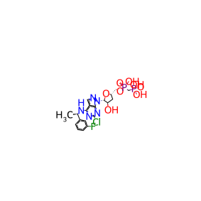 C[C@@H](Nc1nc(Cl)nc2c1cnn2[C@@H]1O[C@H](COP(=O)(O)CP(=O)(O)O)C[C@H]1O)c1cccc(F)c1